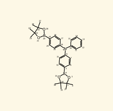 CC1(C)OB(c2ccc(N(c3ccccc3)c3ccc(B4OC(C)(C)C(C)(C)O4)cc3)cc2)OC1(C)C